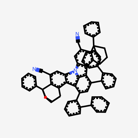 N#Cc1cc2c(c3c1C1(c4ccccc4)CCC3CC1)c1c(-c3ccccc3-c3ccccc3)cc(-c3ccccc3-c3ccccc3)c3c4c5c(c(C#N)cc4n2c13)C1(c2ccccc2)CCC5CC1